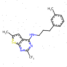 Cc1cccc(CCCNc2nc(C(F)(F)F)nc3sc(C)cc23)c1